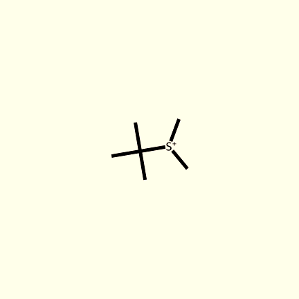 C[S+](C)C(C)(C)C